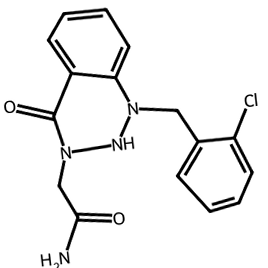 NC(=O)CN1NN(Cc2ccccc2Cl)c2ccccc2C1=O